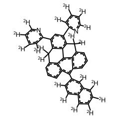 [2H]c1nc(-c2cc(-c3nc([2H])c([2H])c([2H])c3[2H])c3c4c2C([2H])([2H])c2cccc5c(-c6c([2H])c([2H])c7c([2H])c([2H])c([2H])c([2H])c7c6[2H])c6cccc(c6c-4c25)C3([2H])[2H])c([2H])c([2H])c1[2H]